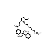 CCOC(=O)CCCCCCN1C(=O)CC[C@@H]1/C=C/C(=O)c1cccc(C(OC)(OC)c2ccccc2)c1